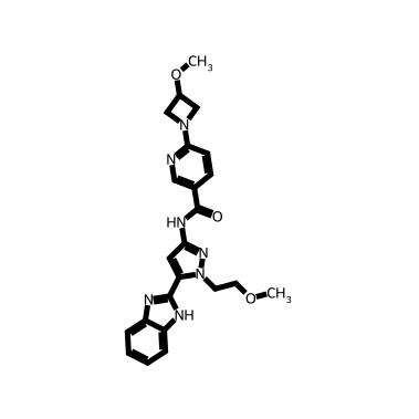 COCCn1nc(NC(=O)c2ccc(N3CC(OC)C3)nc2)cc1-c1nc2ccccc2[nH]1